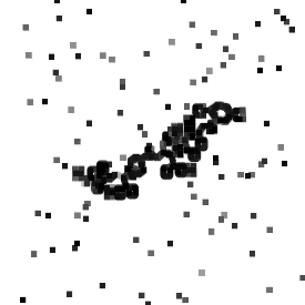 CS(=O)(=O)CC[C@@H](C(=O)O)[n+]1ccc(SCC2=C(C(=O)O)N3C(=O)[C@H](NC(=O)CSc4cc(Cl)ccc4Cl)[C@H]3SC2)cc1